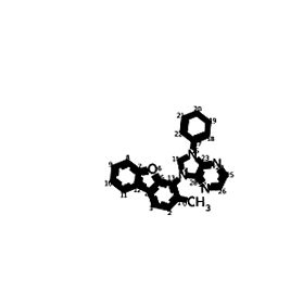 Cc1ccc2c(oc3ccccc32)c1N1CN(C2=CCCC=C2)c2nccnc21